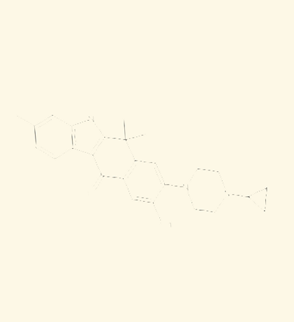 CCCc1cc2c(cc1N1CCN(C3CC3)CC1)C(C)(C)c1[nH]c3cc(C)ccc3c1C2=O